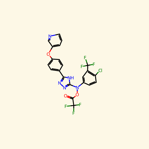 O=C(ON(c1ccc(Cl)c(C(F)(F)F)c1)c1nnc(-c2ccc(Oc3cccnc3)cc2)[nH]1)C(F)(F)F